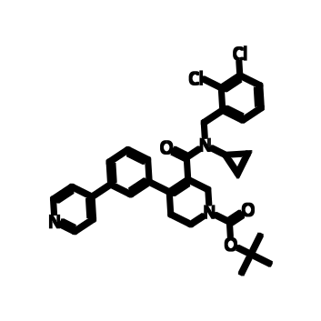 CC(C)(C)OC(=O)N1CCC(c2cccc(-c3ccncc3)c2)=C(C(=O)N(Cc2cccc(Cl)c2Cl)C2CC2)C1